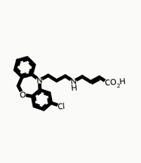 O=C(O)/C=C/CNCCCN1c2ccccc2COc2ccc(Cl)cc21